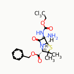 CC1(C)S[C@H]2N(C(=O)[C@@]2(N)NC(=O)OCC(Cl)(Cl)Cl)[C@H]1C(=O)OCc1ccccc1